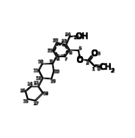 C=CC(=O)OCc1cc(C2CCC(C3CCCCC3)CC2)ccc1CO